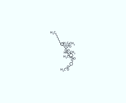 C=CC(=O)OCC1CCC(COC(=O)C2=NC3(C)CC(NC(=O)OC(COC(=O)C(=C)C)COc4ccc(CCCCCCCCC)cc4)CC(C)(CC2)C3)CC1